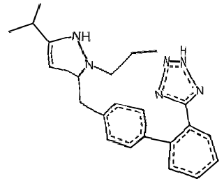 CCCN1NC(C(C)C)=CC1Cc1ccc(-c2ccccc2-c2nn[nH]n2)cc1